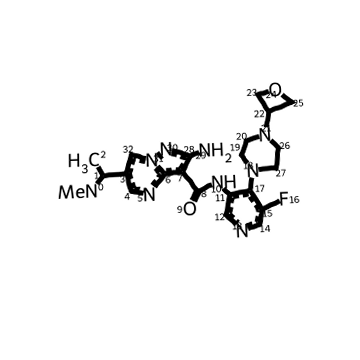 CNC(C)c1cnc2c(C(=O)Nc3cncc(F)c3N3CCN(C4COC4)CC3)c(N)nn2c1